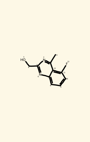 Cc1nc(CO)nc2cccc(F)c12